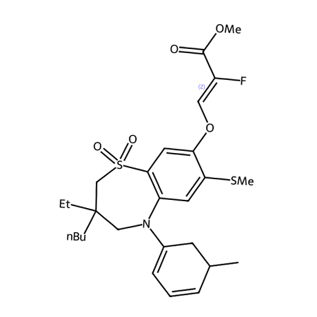 CCCCC1(CC)CN(C2=CC=CC(C)C2)c2cc(SC)c(O/C=C(\F)C(=O)OC)cc2S(=O)(=O)C1